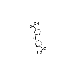 O=C(O)c1ccc(Oc2cccc(C(=O)O)c2)cc1